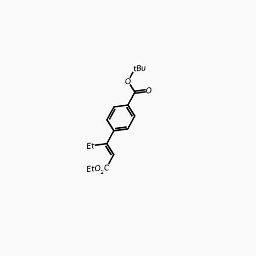 CCOC(=O)C=C(CC)c1ccc(C(=O)OC(C)(C)C)cc1